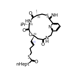 CCCCCCCC(=O)SCC/C=C/[C@@H]1CC(=O)NCc2cccc(n2)C(=N)SC[C@@H](C)C(=O)N[C@@H](C(C)C)C(=O)O1